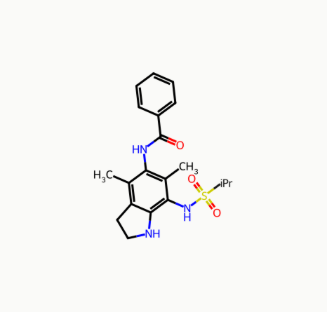 Cc1c2c(c(NS(=O)(=O)C(C)C)c(C)c1NC(=O)c1ccccc1)NCC2